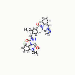 Cc1cc(C(=O)N2Cc3ccnn3Cc3ccccc32)ccc1CNC(=O)N1CC(=O)N(C)c2cccc(F)c21